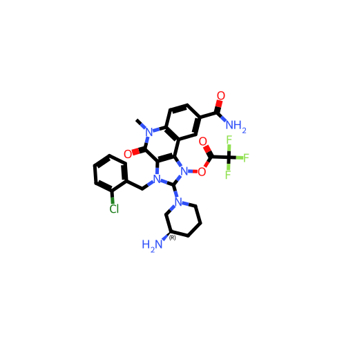 Cn1c(=O)c2c(c3cc(C(N)=O)ccc31)N(OC(=O)C(F)(F)F)C(N1CCC[C@@H](N)C1)N2Cc1ccccc1Cl